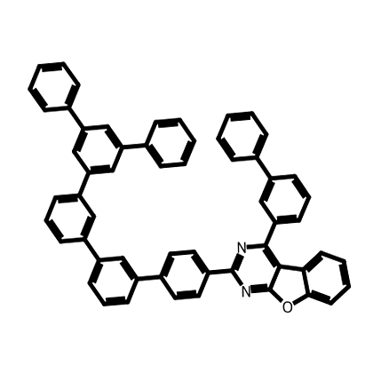 c1ccc(-c2cc(-c3ccccc3)cc(-c3cccc(-c4cccc(-c5ccc(-c6nc(-c7cccc(-c8ccccc8)c7)c7c(n6)oc6ccccc67)cc5)c4)c3)c2)cc1